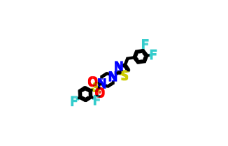 O=S(=O)(c1ccc(F)cc1F)N1CCN(c2nc(Cc3ccc(F)c(F)c3)cs2)CC1